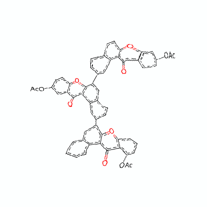 CC(=O)Oc1ccc2c(=O)c3c(ccc4ccc(-c5cc6ccc(-c7cc8ccccc8c8c(=O)c9c(OC(C)=O)cccc9oc78)cc6c6c(=O)c7cc(OC(C)=O)ccc7oc56)cc43)oc2c1